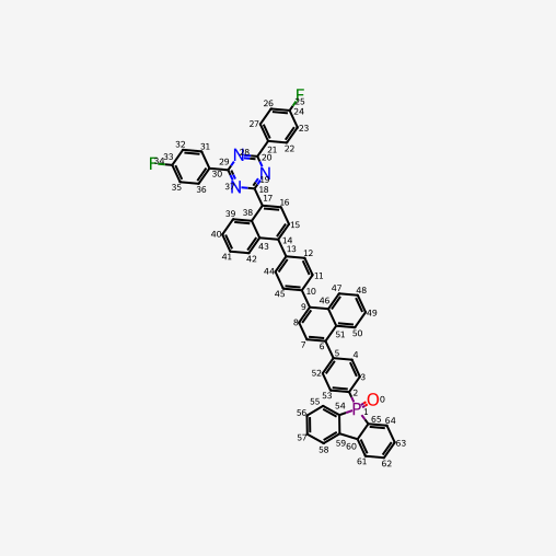 O=P1(c2ccc(-c3ccc(-c4ccc(-c5ccc(-c6nc(-c7ccc(F)cc7)nc(-c7ccc(F)cc7)n6)c6ccccc56)cc4)c4ccccc34)cc2)c2ccccc2-c2ccccc21